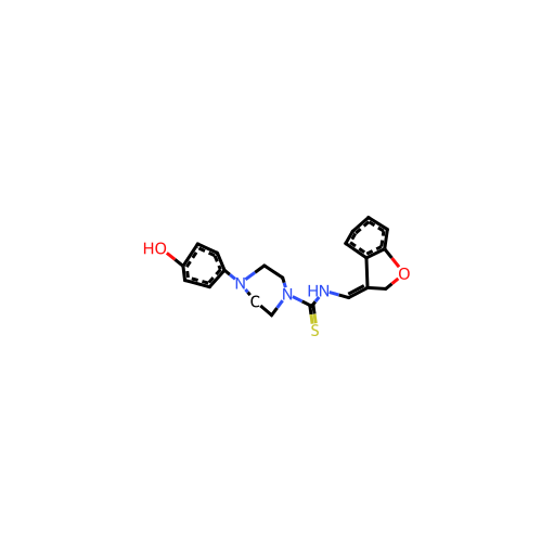 Oc1ccc(N2CCN(C(=S)N/C=C3/COc4ccccc43)CC2)cc1